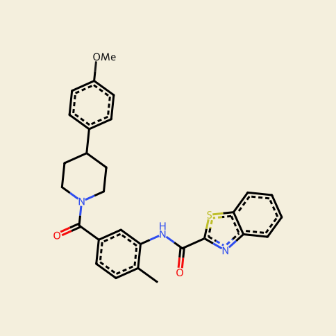 COc1ccc(C2CCN(C(=O)c3ccc(C)c(NC(=O)c4nc5ccccc5s4)c3)CC2)cc1